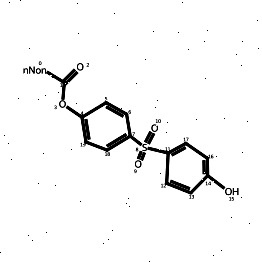 CCCCCCCCCC(=O)Oc1ccc(S(=O)(=O)c2ccc(O)cc2)cc1